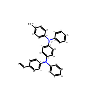 C=Cc1ccc(N(c2ccccc2)c2ccc(N(c3ccccc3)c3ccc(CC)cc3)cc2)cc1